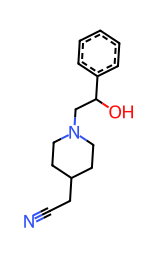 N#CCC1CCN(CC(O)c2ccccc2)CC1